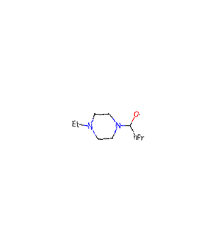 CCCC([O])N1CCN(CC)CC1